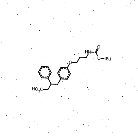 CC(C)(C)OC(=O)NCCCOc1ccc(CC(CC(=O)O)c2ccccc2)cc1